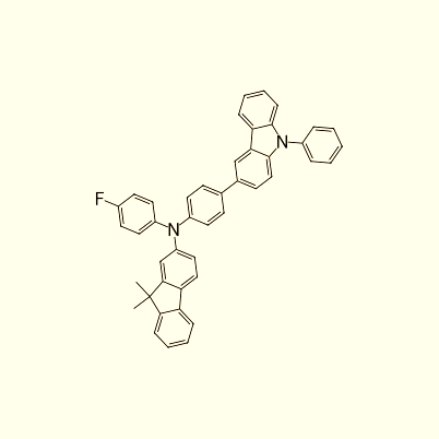 CC1(C)c2ccccc2-c2ccc(N(c3ccc(F)cc3)c3ccc(-c4ccc5c(c4)c4ccccc4n5-c4ccccc4)cc3)cc21